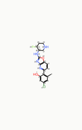 Cc1cc(Cl)cc(O)c1-c1ccc2oc(N[C@@H]3CNCC[C@@H]3F)nc2n1